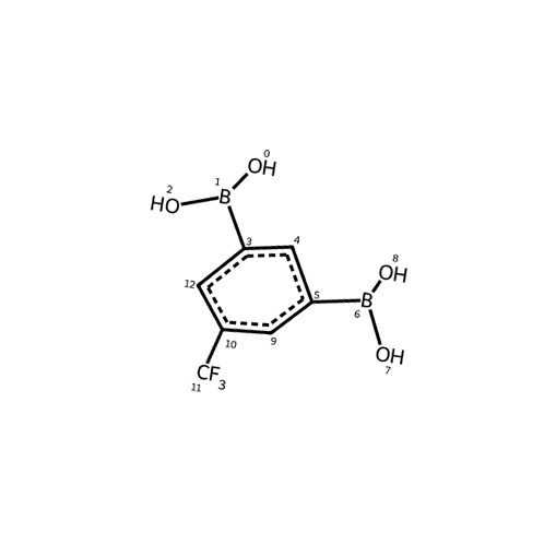 OB(O)c1cc(B(O)O)cc(C(F)(F)F)c1